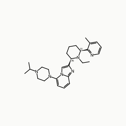 CCN1[C@@H](c2cn3c(N4CCN(C(C)C)CC4)cccc3n2)CCC[C@H]1c1ncccc1C